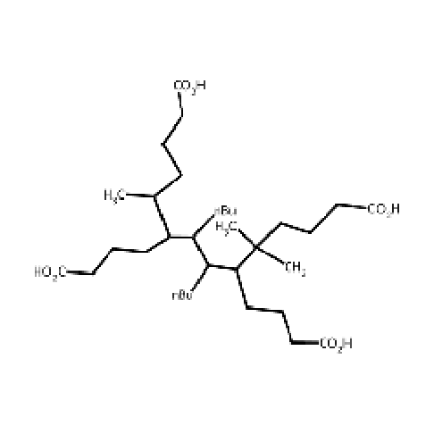 CCCCC(C(CCCC(=O)O)C(C)CCCC(=O)O)C(CCCC)C(CCCC(=O)O)C(C)(C)CCCC(=O)O